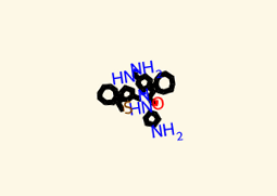 N=C(N)C1CCC2(C3CCCCCCCC3)CC(C(=O)N[C@H]3CC[C@H](N)CC3)N(CC3CCCC4(C5CCCCCCC5)CCSC34)C2C1